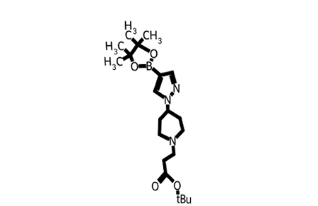 CC(C)(C)OC(=O)CCN1CCC(n2cc(B3OC(C)(C)C(C)(C)O3)cn2)CC1